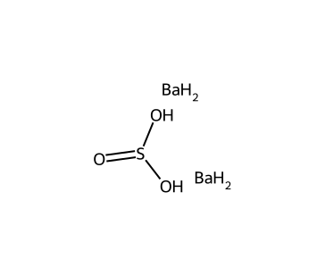 O=S(O)O.[BaH2].[BaH2]